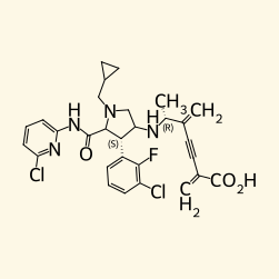 C=C(C#CC(=C)[C@@H](C)NC1CN(CC2CC2)C(C(=O)Nc2cccc(Cl)n2)[C@H]1c1cccc(Cl)c1F)C(=O)O